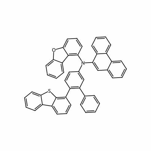 c1ccc(-c2cc(N(c3cc4ccccc4c4ccccc34)c3cccc4oc5ccccc5c34)ccc2-c2cccc3c2sc2ccccc23)cc1